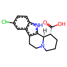 O=C(O)[C@@H]1CCCN2CCc3c([nH]c4ccc(Cl)cc34)[C@@H]12